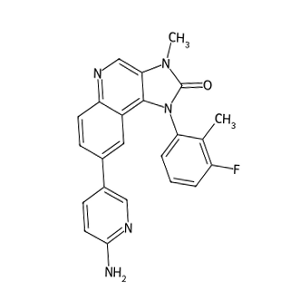 Cc1c(F)cccc1-n1c(=O)n(C)c2cnc3ccc(-c4ccc(N)nc4)cc3c21